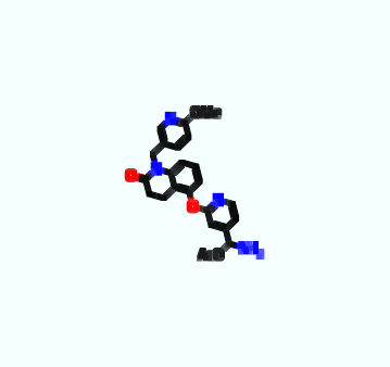 COc1ccc(CN2C(=O)CCc3c(Oc4cc(C(N)OC(C)=O)ccn4)cccc32)cn1